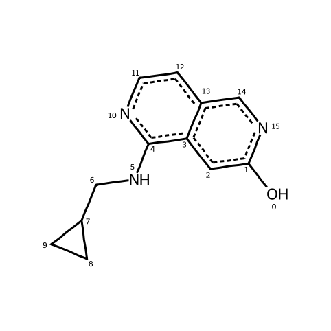 Oc1cc2c(NCC3CC3)nccc2cn1